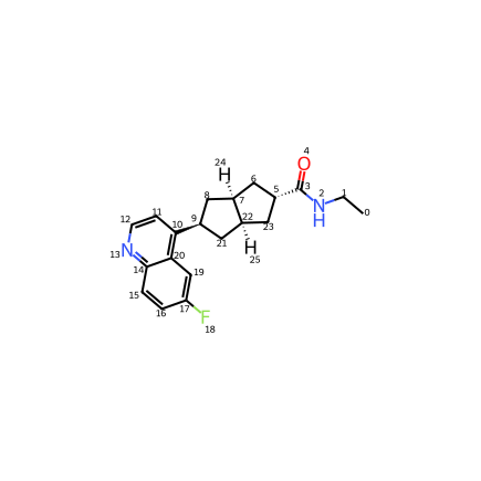 CCNC(=O)[C@H]1C[C@@H]2C[C@H](c3ccnc4ccc(F)cc34)C[C@@H]2C1